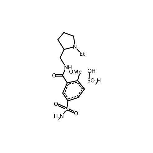 CCN1CCCC1CNC(=O)c1cc(S(N)(=O)=O)ccc1OC.O=S(=O)(O)O